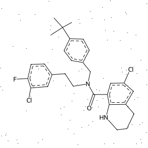 CC(C)(C)c1ccc(CN(CCc2ccc(F)c(Cl)c2)C(=O)c2cc(Cl)cc3c2NCCC3)cc1